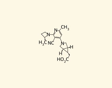 Cc1cc(N2C[C@@H]3[C@@H](CC(=O)O)[C@@H]3C2)c(C#N)c(N2CC[C@@H]2C)n1